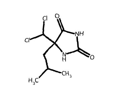 CC(C)CC1(C(Cl)Cl)NC(=O)NC1=O